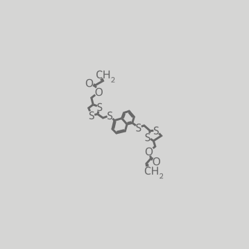 C=CC(=O)OCC1CSC(CSc2cccc3c(SCC4SCC(COC(=O)C=C)S4)cccc23)S1